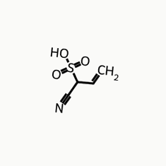 C=CC(C#N)S(=O)(=O)O